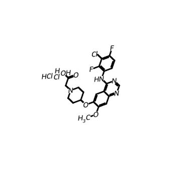 COc1cc2ncnc(Nc3ccc(F)c(Cl)c3F)c2cc1OC1CCN(CC(=O)O)CC1.Cl.Cl